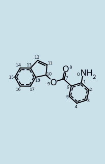 Nc1ccccc1C(=O)OC1C=Cc2ccccc21